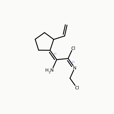 C=CC1CCC/C1=C(N)/C(Cl)=N\CCl